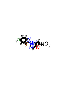 O=[N+]([O-])c1ccc(/C=N\Nc2nc3ccc(F)cc3s2)o1